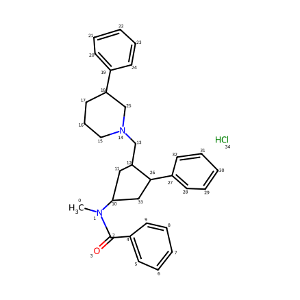 CN(C(=O)c1ccccc1)C1CC(CN2CCCC(c3ccccc3)C2)C(c2ccccc2)C1.Cl